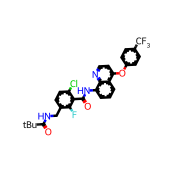 CC(C)(C)C(=O)NCc1ccc(Cl)c(C(=O)Nc2cccc3c(Oc4ccc(C(F)(F)F)cc4)ccnc23)c1F